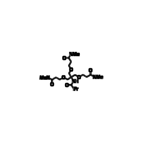 CNC(=O)CCOCC(COCCC(=O)NC)(COCCC(=O)NC)NC(=O)C(C)C